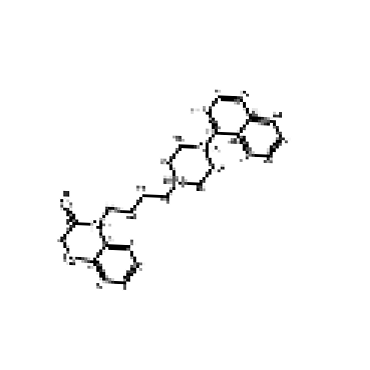 O=C1CSc2ccccc2N1CCCCN1CCN(c2nccc3ccccc23)CC1